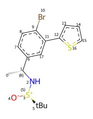 C[C@@H](N[S@+]([O-])C(C)(C)C)c1ccc(Br)c(-c2cccs2)c1